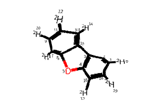 [2H]c1[c]c2c(oc3c([2H])c([2H])c([2H])c([2H])c32)c([2H])c1[2H]